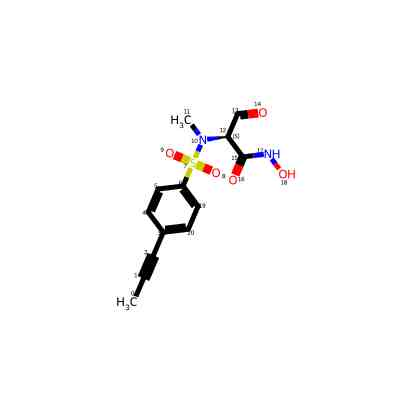 CC#Cc1ccc(S(=O)(=O)N(C)[C@@H]([C]=O)C(=O)NO)cc1